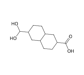 O=C(O)C1CCC2CC(C(O)O)CCC2C1